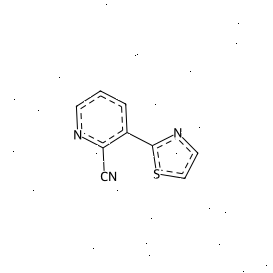 N#Cc1ncccc1-c1nccs1